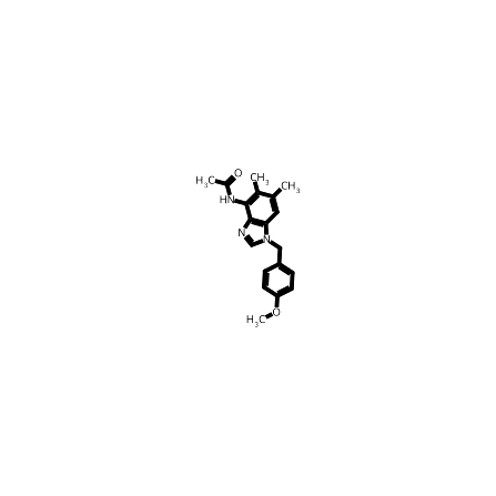 COc1ccc(Cn2cnc3c(NC(C)=O)c(C)c(C)cc32)cc1